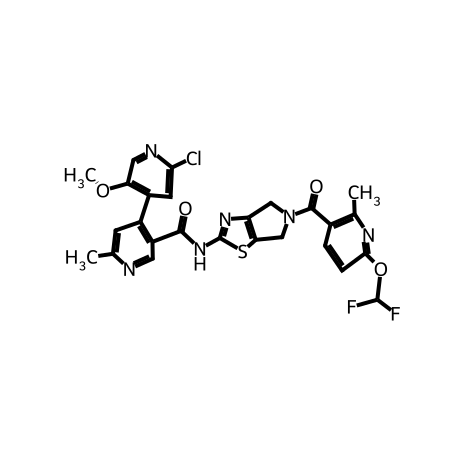 COc1cnc(Cl)cc1-c1cc(C)ncc1C(=O)Nc1nc2c(s1)CN(C(=O)c1ccc(OC(F)F)nc1C)C2